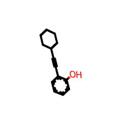 Oc1ccccc1C#CC1CCCCC1